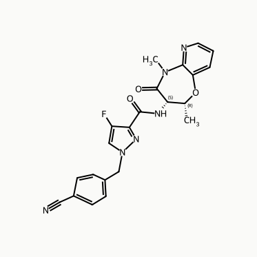 C[C@H]1Oc2cccnc2N(C)C(=O)[C@H]1NC(=O)c1nn(Cc2ccc(C#N)cc2)cc1F